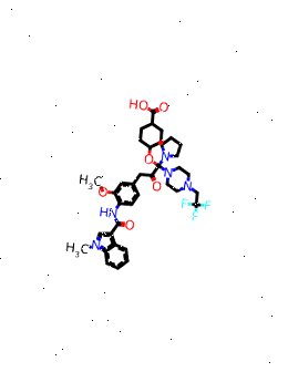 COc1cc(CC(=O)C(OC2CCC(C(=O)O)CC2)(N2CCCC2)N2CCN(CC(F)(F)F)CC2)ccc1NC(=O)c1cn(C)c2ccccc12